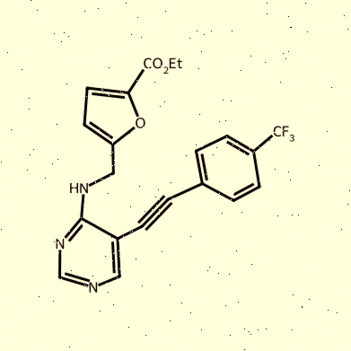 CCOC(=O)c1ccc(CNc2ncncc2C#Cc2ccc(C(F)(F)F)cc2)o1